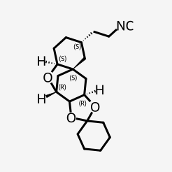 [C-]#[N+]CC[C@H]1CC[C@@H]2O[C@@H]3C[C@@]2(C1)C[C@H]1OC2(CCCCC2)OC31